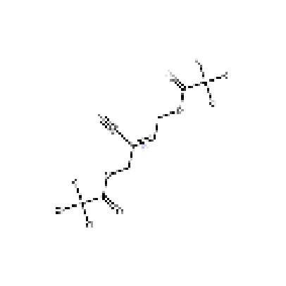 N#C/C(=C\COC(=O)C(Cl)(Cl)Cl)COC(=O)C(Cl)(Cl)Cl